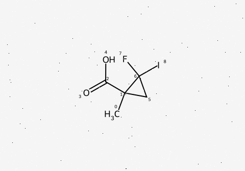 CC1(C(=O)O)CC1(F)I